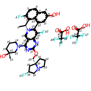 CCc1c(F)ccc2cc(O)cc(-c3ncc4c(N5CCC[C@@](C)(O)C5)nc(OC[C@]56CCCN5C[C@@H](F)C6)nc4c3F)c12.O=C(O)C(F)(F)F.O=C(O)C(F)(F)F